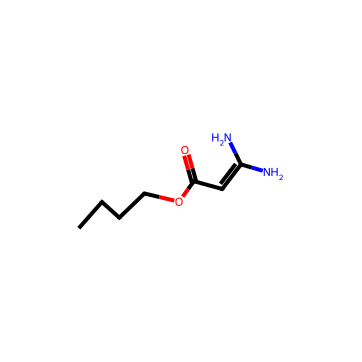 CCCCOC(=O)C=C(N)N